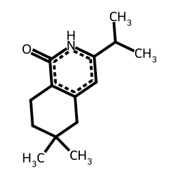 CC(C)c1cc2c(c(=O)[nH]1)CCC(C)(C)C2